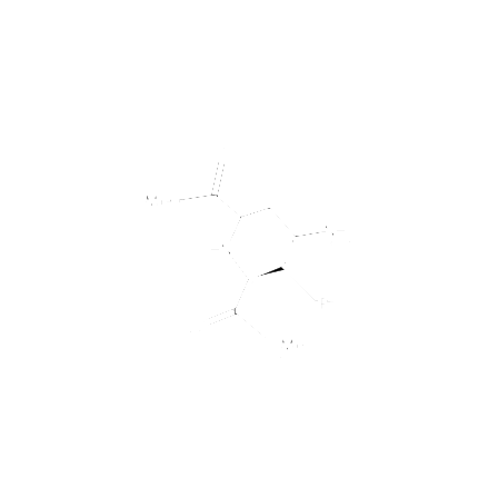 COC(=O)C(CCN)N[C@@H](CC(C)C)C(=O)OC